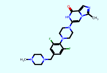 Cc1ncc2c(=O)[nH]c(N3CCN(c4c(F)cc(CN5CCN(C)CC5)cc4F)CC3)cn12